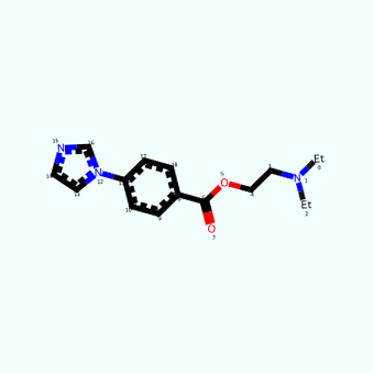 CCN(CC)CCOC(=O)c1ccc(-n2ccnc2)cc1